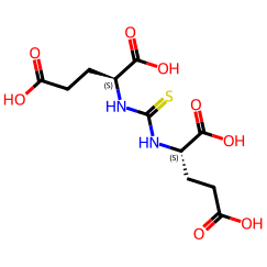 O=C(O)CC[C@H](NC(=S)N[C@@H](CCC(=O)O)C(=O)O)C(=O)O